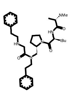 CN[C@@H](C)C(=O)N[C@H](C(=O)N1CCC[C@H]1CN(CCc1ccccc1)C(=O)CNCCc1ccccc1)C(C)(C)C